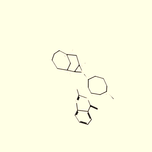 CCOC(=O)c1nc2ccccc2c(=O)n1[C@H]1C[C@H](C)CCC[C@H](N2C3[C@H]4CCCC[C@H](C4)C[C@H]32)C1